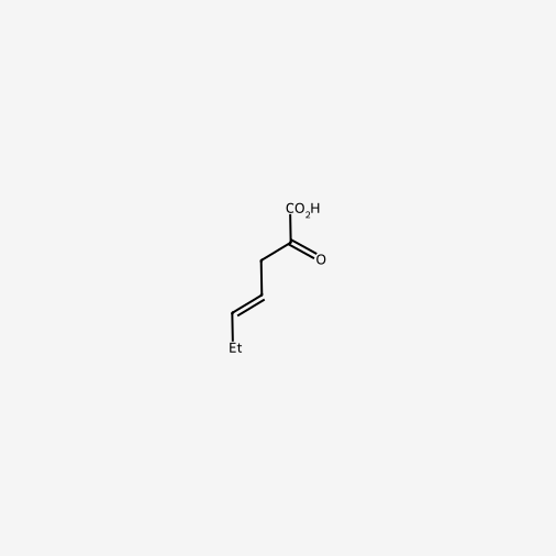 CCC=CCC(=O)C(=O)O